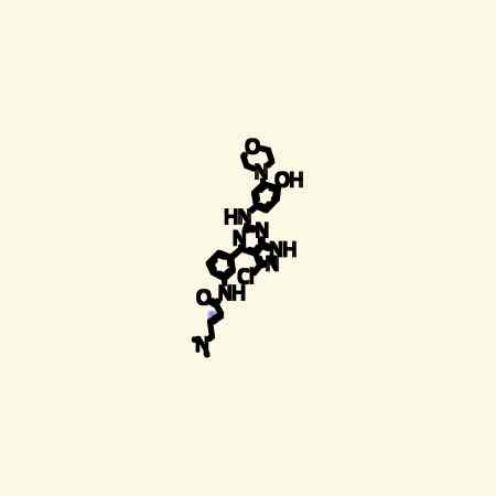 CN(C)C/C=C/C(=O)Nc1cccc(-c2nc(Nc3ccc(O)c(N4CCOCC4)c3)nc3[nH]nc(Cl)c23)c1